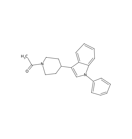 CC(=O)N1CCC(c2cn(-c3ccccc3)c3ccccc23)CC1